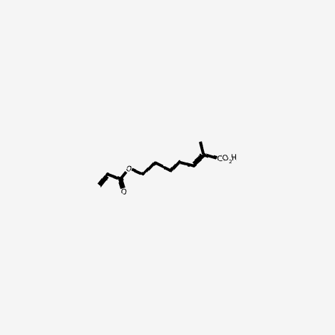 C=CC(=O)OCCCCC=C(C)C(=O)O